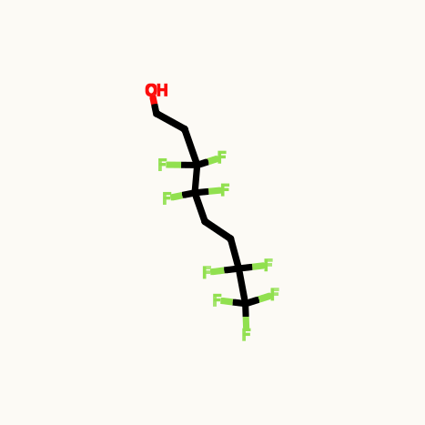 OCCC(F)(F)C(F)(F)CCC(F)(F)C(F)(F)F